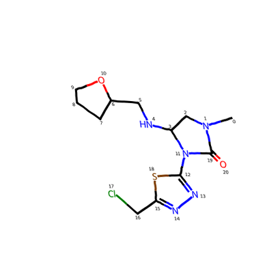 CN1CC(NCC2CCCO2)N(c2nnc(CCl)s2)C1=O